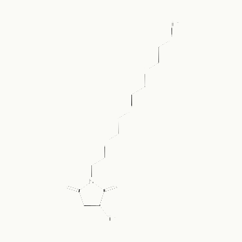 CC(C)OCCOCCOCCOCCN1C(=O)CC(C(C)C)C1=O